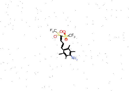 Cc1c(C)c(C=CC=C(S(=O)(=O)C(F)(F)F)S(=O)(=O)C(F)(F)F)c(C)c(C)c1N